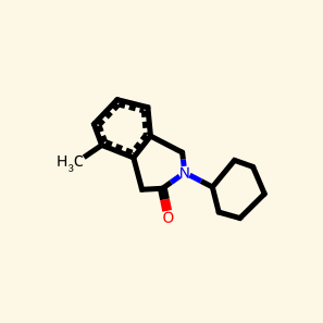 Cc1cccc2c1CC(=O)N(C1CCCCC1)C2